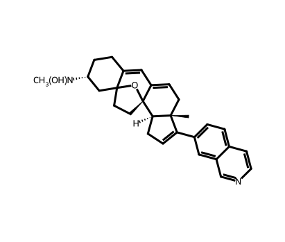 CN(O)[C@@H]1CCC2=CC3=CC[C@]4(C)C(c5ccc6ccncc6c5)=CC[C@H]4[C@@]34CCC2(C1)O4